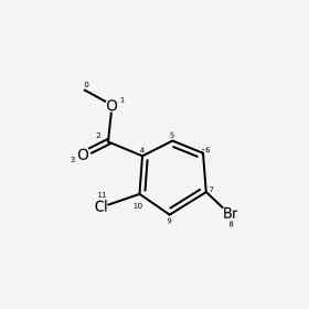 COC(=O)c1c[c]c(Br)cc1Cl